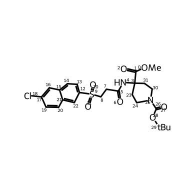 COC(=O)C1(NC(=O)CCS(=O)(=O)c2ccc3cc(Cl)ccc3c2)CCN(C(=O)OC(C)(C)C)CC1